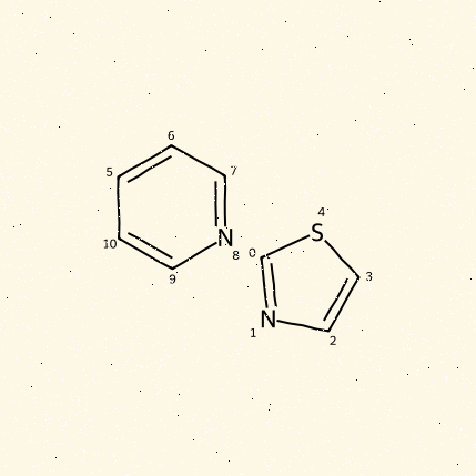 [c]1nccs1.c1ccncc1